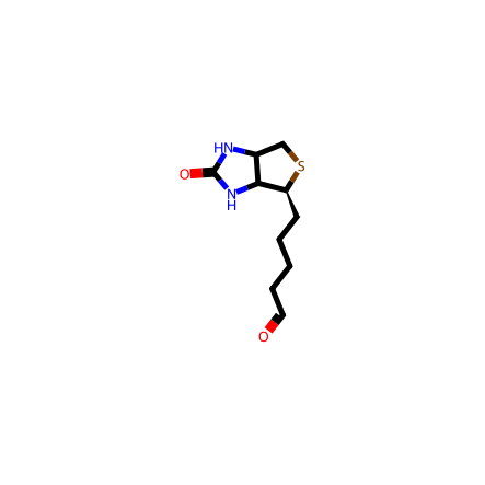 O=CCCCC[C@@H]1SCC2NC(=O)NC21